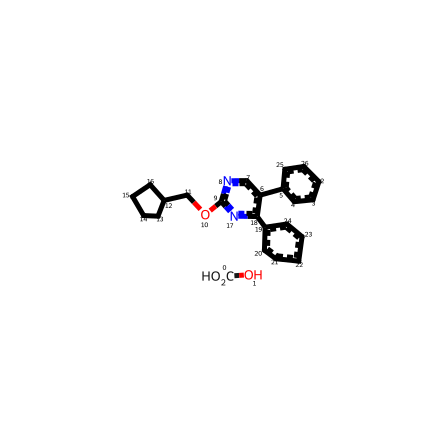 O=C(O)O.c1ccc(-c2cnc(OCC3CCCC3)nc2-c2ccccc2)cc1